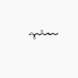 CCCC=CCNCCC(=O)OC